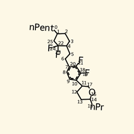 CCCCCC1CCC(CCc2ccc(C3CCC(CCC)OC3)c(F)c2F)C(F)(F)C1